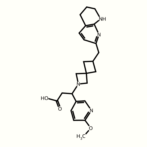 COc1ccc(C(CC(=O)O)N2CC3(CC(Cc4ccc5c(n4)NCCC5)C3)C2)cn1